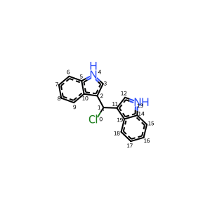 Cl[C](c1c[nH]c2ccccc12)c1c[nH]c2ccccc12